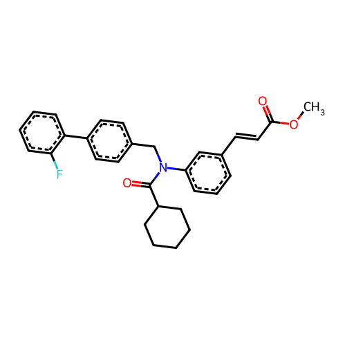 COC(=O)/C=C/c1cccc(N(Cc2ccc(-c3ccccc3F)cc2)C(=O)C2CCCCC2)c1